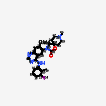 COc1cc2ncnc(Nc3cccc(I)c3C)c2cc1N1CC2(CCN(C)CC2)OC1=O